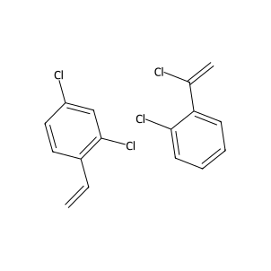 C=C(Cl)c1ccccc1Cl.C=Cc1ccc(Cl)cc1Cl